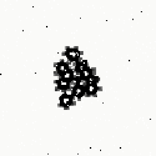 c1ccc(-c2cccc(N(c3cc4ccccc4c4ccccc34)c3c4oc(-c5ccccc5)nc4cc4oc5ccccc5c34)c2)cc1